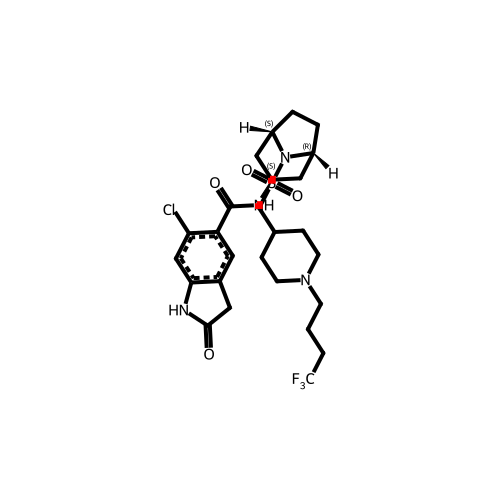 O=C1Cc2cc(C(=O)N[C@@H]3C[C@H]4CC[C@@H](C3)N4S(=O)(=O)CC3CCN(CCCC(F)(F)F)CC3)c(Cl)cc2N1